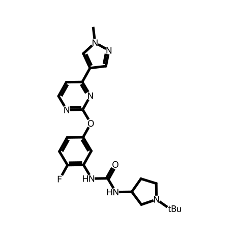 Cn1cc(-c2ccnc(Oc3ccc(F)c(NC(=O)NC4CCN(C(C)(C)C)C4)c3)n2)cn1